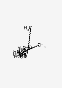 CCCCCCCCCCCCCCCCCC(=O)NC(CCCCCCCCCC)CO[C@@H]1OC(CO)[C@@H](O[C@@H]2OC(CO)[C@H](O)C(O)[C@@H]2O)C(O)[C@@H]1NC(C)=O